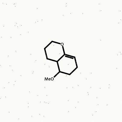 COC1CCC=C2OCCCC21